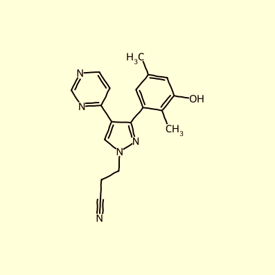 Cc1cc(O)c(C)c(-c2nn(CCC#N)cc2-c2ccncn2)c1